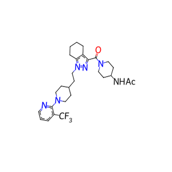 CC(=O)NC1CCN(C(=O)c2nn(CCC3CCN(c4ncccc4C(F)(F)F)CC3)c3c2CCCC3)CC1